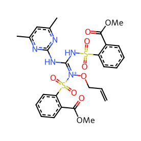 C=CCO[N+](=C(Nc1nc(C)cc(C)n1)NS(=O)(=O)c1ccccc1C(=O)OC)S(=O)(=O)c1ccccc1C(=O)OC